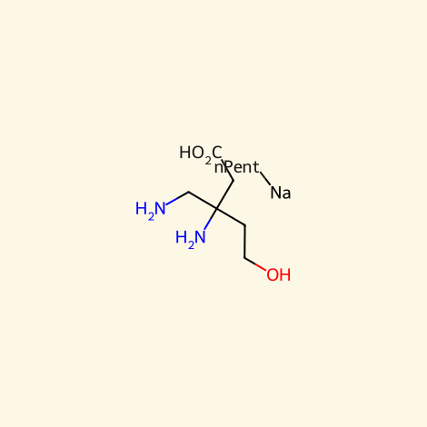 CCCC[CH2][Na].NCC(N)(CCO)CC(=O)O